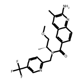 COC[C@@H](C)N(Cc1ccc(C(F)(F)F)cn1)C(=O)c1ccc2nc(N)c(C)cc2c1